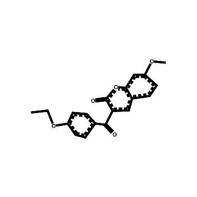 CCOc1ccc(C(=O)c2cc3ccc(OC)cc3oc2=O)cc1